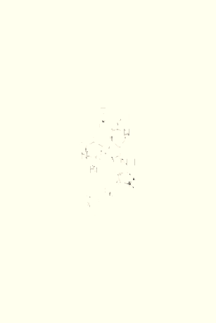 COc1c(C)ncc(C(=O)Nc2nnc(OCC3CCOC3)s2)c1-c1ccnc(Br)c1